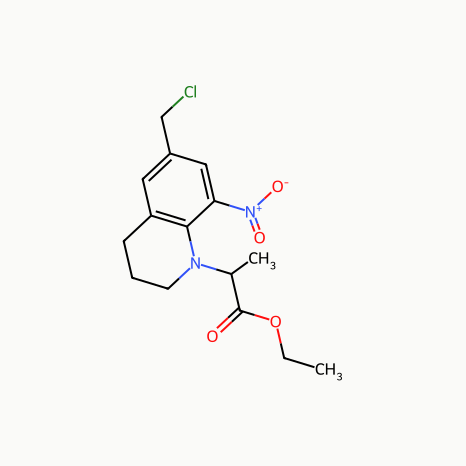 CCOC(=O)C(C)N1CCCc2cc(CCl)cc([N+](=O)[O-])c21